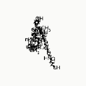 C#CCCCC(=O)NCCOCCOCCOCCOC(=O)NNC(=O)[C@@H](C)C[C@H](Cc1ccc(O)cc1)NC(=O)c1csc([C@@H](C[C@H](C(C)C)N(CCC)C(=O)[C@@H](NC(=O)[C@H]2CCCCN2C)[C@@H](C)CC)OCCC)n1